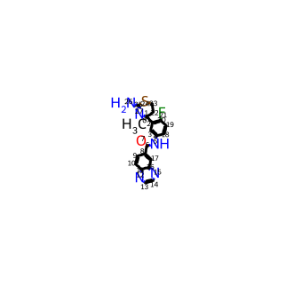 CC1(c2cc(NC(=O)c3ccc4nccnc4c3)ccc2F)CCSC(N)=N1